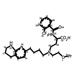 CC(C)OCCN(CCCCc1ccc2c(n1)NCCC2)CCC(NC(=O)c1cccnc1C(F)(F)F)C(=O)O